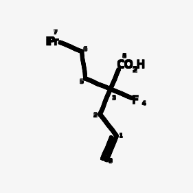 C=CCC(F)(CCC(C)C)C(=O)O